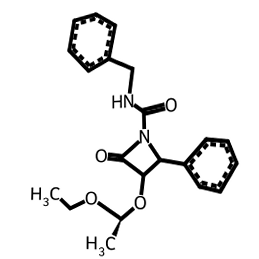 CCO[C@H](C)OC1C(=O)N(C(=O)NCc2ccccc2)C1c1ccccc1